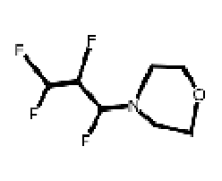 FC(F)C(F)C(F)N1CCOCC1